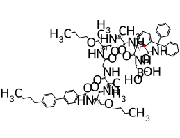 CCCCOC[C@@H](NC(=O)c1ccc(-c2ccc(CCCC)cc2)cc1)C(=O)N[C@H](C)C(=O)NCC(=O)N[C@H](C(=O)N[C@@H](C)C(=O)N[C@@H](CC(=O)NC(c1ccccc1)(c1ccccc1)c1ccccc1)C(=O)NCB(O)O)C(C)OCCCC